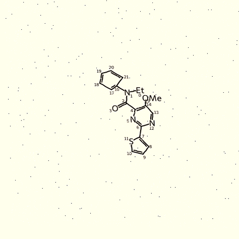 CCN(C(=O)c1nc(-c2cccs2)ncc1OC)c1ccccc1